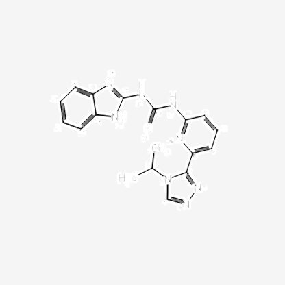 CC(C)n1cnnc1-c1cccc(NC(=O)Nc2nc3ccccc3[nH]2)n1